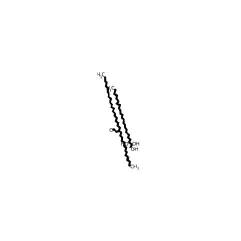 CCCCCCCCC=CCCCCCC(CC=O)CCCCCCCCCCCCCCCCCCCCCC.CCCCCCCCCCCCCCCCCCCCCCC(O)C(O)CO